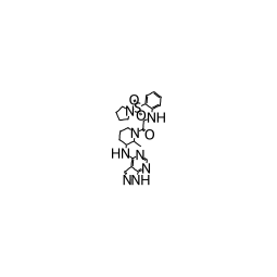 CC1C(Nc2ncnc3[nH]ncc23)CCCN1C(=O)CNc1ccccc1S(=O)(=O)N1CCCC1